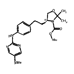 CSc1cnc(Nc2ccc(CC[C@H]3COC(C)(C)N3C(=O)OC(C)(C)C)cc2)nc1